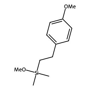 COc1ccc(CC[Si](C)(C)OC)cc1